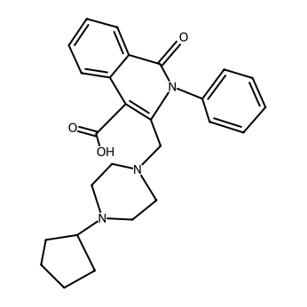 O=C(O)c1c(CN2CCN(C3CCCC3)CC2)n(-c2ccccc2)c(=O)c2ccccc12